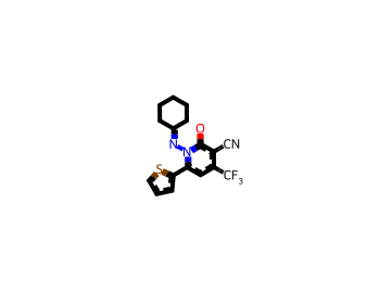 N#Cc1c(C(F)(F)F)cc(-c2cccs2)n(N=C2CCCCC2)c1=O